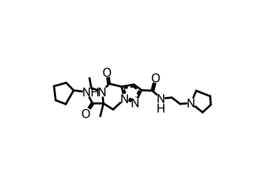 CCN1C(=O)c2cc(C(=O)NCCN3CCCC3)nn2CC1(C)C(=O)NC1CCCC1